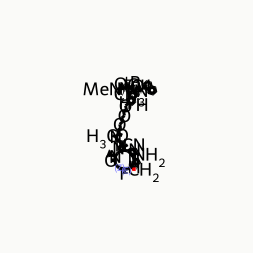 C=C1/C=C(F)\C=C/CC(=O)N(C2CC2)Cc2nn(CCN(C)C(=O)CCOCCOCCOc3ccc4c(c3)CN(C(=O)[C@@H](NC(=O)[C@H](C)NC)C(C)(C)C)[C@H](C(=O)N[C@@H]3CCCc5ccccc53)C4)c(C#N)c2-c2cnc(N)c(c2)N2CCC[C@H]12